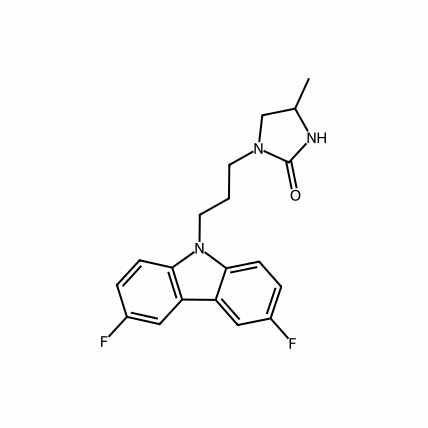 CC1CN(CCCn2c3ccc(F)cc3c3cc(F)ccc32)C(=O)N1